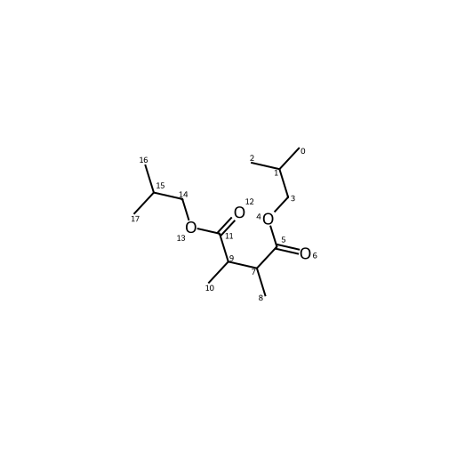 CC(C)COC(=O)C(C)C(C)C(=O)OCC(C)C